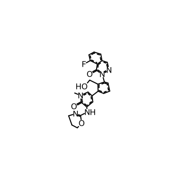 Cn1cc(-c2cccc(-n3ncc4cccc(F)c4c3=O)c2CO)cc(NC2=NCCCO2)c1=O